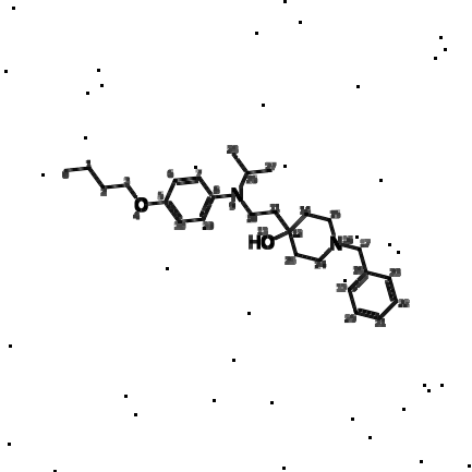 CCCCOc1ccc(N(CCC2(O)CCN(Cc3ccccc3)CC2)C(C)C)cc1